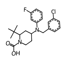 CC(C)(C)C1CC(N(Cc2cccc(Cl)c2)c2cccc(F)c2)CCN1C(=O)O